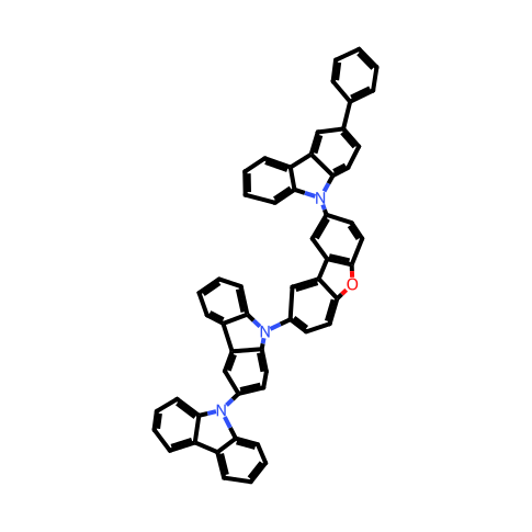 c1ccc(-c2ccc3c(c2)c2ccccc2n3-c2ccc3oc4ccc(-n5c6ccccc6c6cc(-n7c8ccccc8c8ccccc87)ccc65)cc4c3c2)cc1